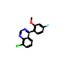 COc1cc(F)ccc1-c1ncnc2c(Cl)cccc12